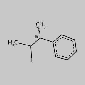 CC(I)[C@H](C)c1ccccc1